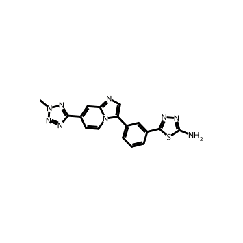 Cn1nnc(-c2ccn3c(-c4cccc(-c5nnc(N)s5)c4)cnc3c2)n1